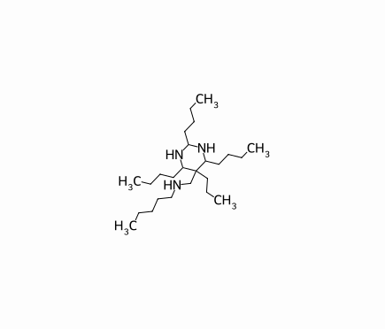 CCCCCNCC1(CCC)C(CCCC)NC(CCCC)NC1CCCC